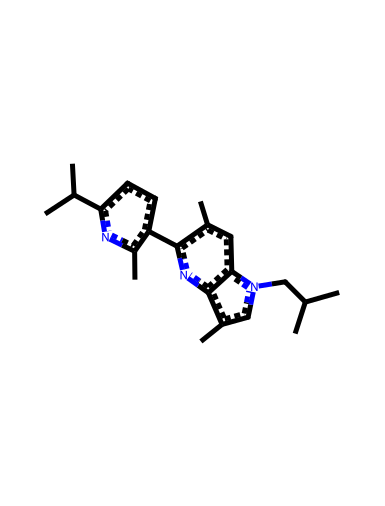 Cc1cc2c(nc1-c1ccc(C(C)C)nc1C)c(C)cn2CC(C)C